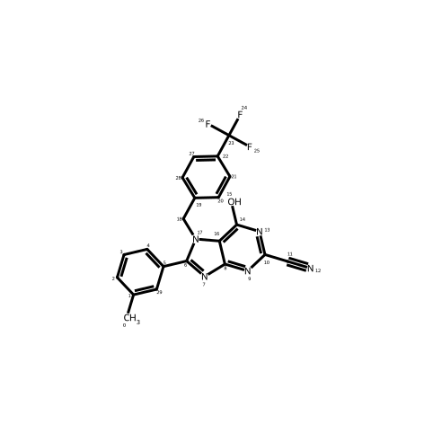 Cc1cccc(-c2nc3nc(C#N)nc(O)c3n2Cc2ccc(C(F)(F)F)cc2)c1